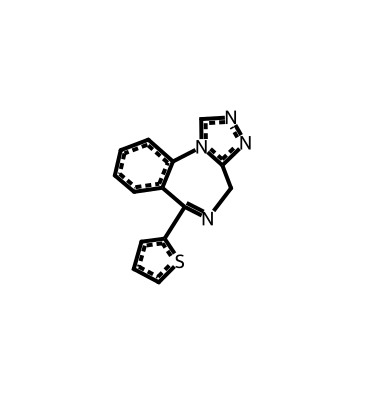 c1csc(C2=NCc3nncn3-c3ccccc32)c1